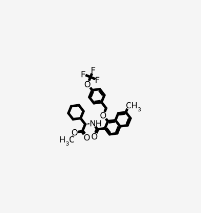 COC(=O)[C@@H](NC(=O)c1ccc2ccc(C)cc2c1OCc1ccc(OC(F)(F)F)cc1)C1CCCCC1